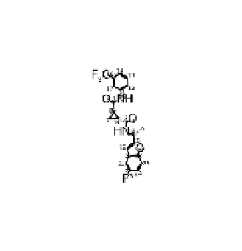 C[C@@H](NC(=O)[C@@H]1C[C@H]1C(=O)Nc1cccc(C(F)(F)F)c1)c1cc2cc(F)ccc2o1